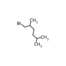 CC(C)CCC(C)CBr